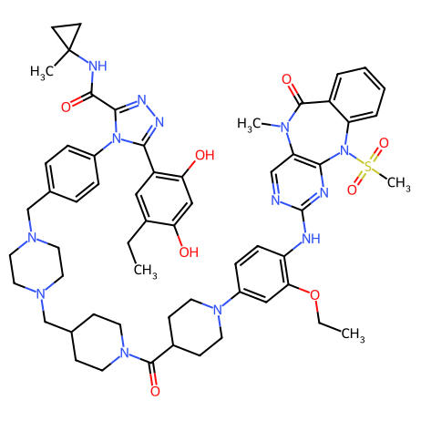 CCOc1cc(N2CCC(C(=O)N3CCC(CN4CCN(Cc5ccc(-n6c(C(=O)NC7(C)CC7)nnc6-c6cc(CC)c(O)cc6O)cc5)CC4)CC3)CC2)ccc1Nc1ncc2c(n1)N(S(C)(=O)=O)c1ccccc1C(=O)N2C